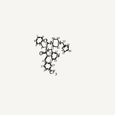 O=C([C@H](Cc1ccccc1)N(Cc1cccnc1)C(=O)C=Cc1ccc(C(F)(F)F)cc1)N1CCN(Cc2cccs2)CC1